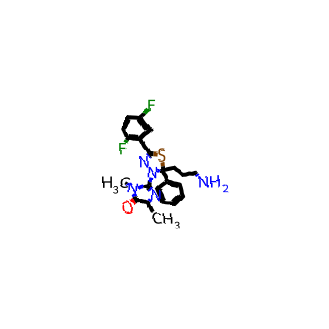 CC1N=C(N2N=C(c3cc(F)ccc3F)SC2(CCCN)c2ccccc2)N(C)C1=O